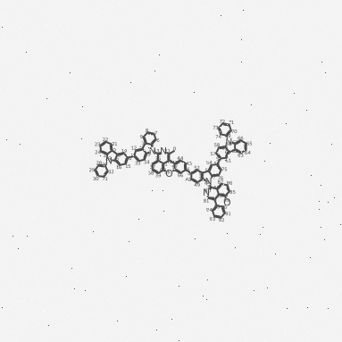 Cc1nc(-n2c3ccccc3c3cc(-c4ccc5c(c4)c4ccccc4n5-c4ccccc4)ccc32)c2cccc3c2c1-c1ccc(-c2ccc4c(c2)c2cc(-c5ccc6c(c5)c5ccccc5n6-c5ccccc5)ccc2n4-c2ncc4c5c(cccc25)Oc2ccccc2-4)cc1O3